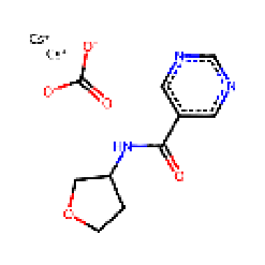 O=C(NC1CCOC1)c1cncnc1.O=C([O-])[O-].[Cs+].[Cs+]